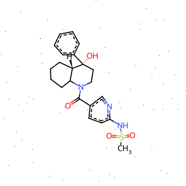 CS(=O)(=O)Nc1ccc(C(=O)N2CC[C@](O)(c3ccccc3)[C@H]3CCCCC32)cn1